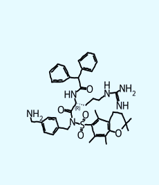 Cc1c(C)c(S(=O)(=O)N(Cc2ccc(CN)cc2)C(=O)[C@@H](CCCNC(=N)N)NC(=O)C(c2ccccc2)c2ccccc2)c(C)c2c1OC(C)(C)CC2